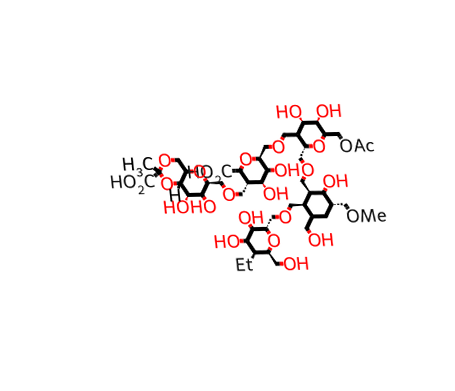 CC[C@H]1C(O)C(O)[C@H](COC[C@@H]2C(CO)C[C@@H](COC)C(O)[C@@H]2COC[C@H]2OC(COC(C)=O)[C@@H](O)[C@@H](O)C2COC[C@@H]2OC(C(=O)O)[C@@H](COC[C@@H]3OC4COC(C)(C(=O)O)O[C@H]4[C@@H](O)C3O)[C@@H](O)C2O)O[C@H]1CO